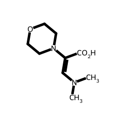 CN(C)/C=C(\C(=O)O)N1CCOCC1